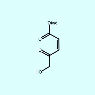 COC(=O)/C=C\C(=O)CO